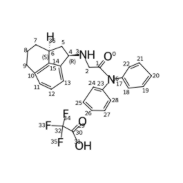 O=C(CN[C@@H]1C[C@@H]2CCCc3cccc1c32)N(c1ccccc1)c1ccccc1.O=C(O)C(F)(F)F